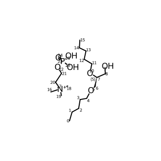 CCCCCOC[C@H](CO)OCCCCC.C[N+](C)(C)CCOP(=O)(O)O